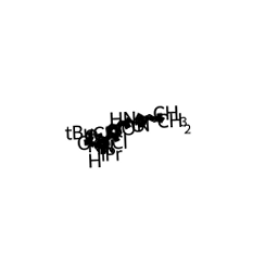 C=C(C)CCc1cc(NC(=O)Cc2ccc(-c3nn(C(C)C)c(NC(=O)OC(C)(C)C)c3C#N)c(Cl)c2)on1